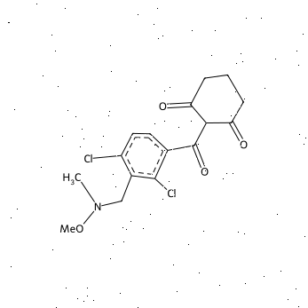 CON(C)Cc1c(Cl)ccc(C(=O)C2C(=O)CCCC2=O)c1Cl